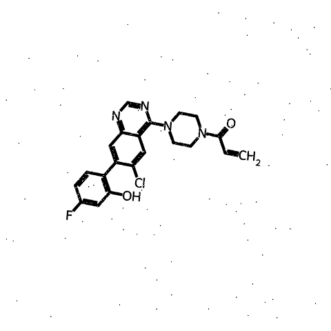 C=CC(=O)N1CCN(c2ncnc3cc(-c4ccc(F)cc4O)c(Cl)cc23)CC1